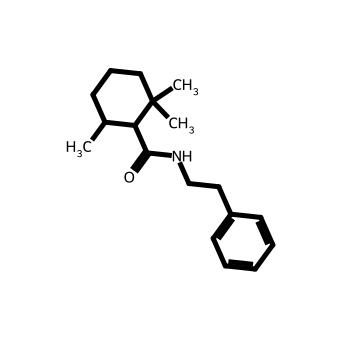 CC1CCCC(C)(C)C1C(=O)NCCc1ccccc1